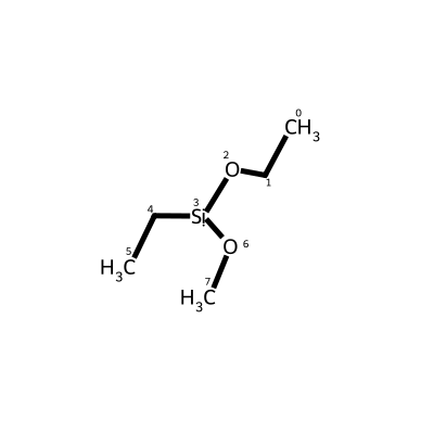 CCO[Si](CC)OC